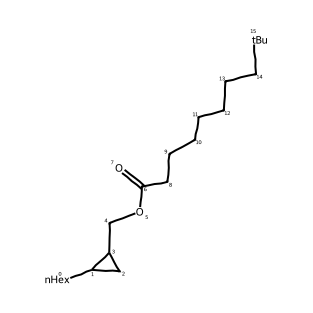 CCCCCCC1CC1COC(=O)CCCCCCCC(C)(C)C